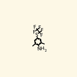 Cc1cc(SC(F)(F)C(F)(F)F)cc(C)c1N